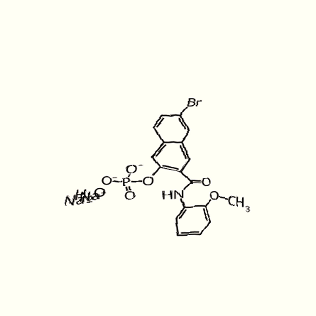 COc1ccccc1NC(=O)c1cc2cc(Br)ccc2cc1OP(=O)([O-])[O-].O.[Na+].[Na+]